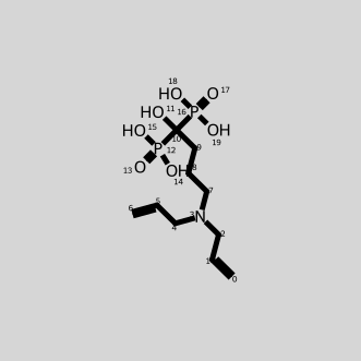 C=CCN(CC=C)CCCC(O)(P(=O)(O)O)P(=O)(O)O